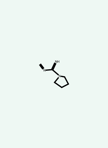 C=NC(=N)N1CCCC1